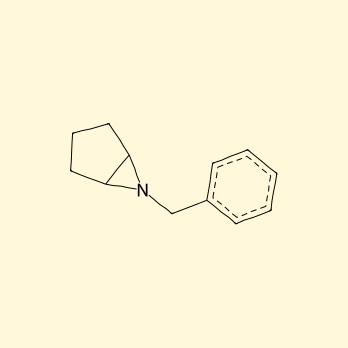 c1ccc(CN2C3CCCC32)cc1